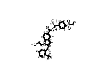 CCS(=O)(=O)c1ccc([C@H](CO)NC(=O)c2ccc3c(c2)cc(Cc2cccnc2C(F)(F)F)n3CCO)cc1